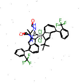 CC(C)(C)C1=Cc2c(-c3ccccc3C(F)(F)F)cccc2[CH]1[Hf]([Cl])([Cl])([B](NC=O)NC=O)[CH]1C(C(C)(C)C)=Cc2c(-c3ccccc3C(F)(F)F)cccc21